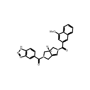 COc1cc(C(=O)N2C=C3CN(C(=O)c4ccc5[nH]nnc5c4)C[C@@H]3C2)cc2ccccc12